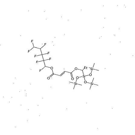 CCC(OC(=O)C=CC(=O)OC(F)C(F)(F)C(F)(F)C(F)C(F)F)[Si](O[Si](C)(C)C)(O[Si](C)(C)C)O[Si](C)(C)C